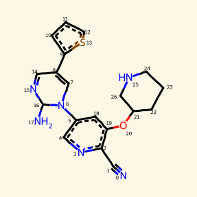 N#Cc1ncc(N2C=C(c3cccs3)C=NC2N)cc1OC1CCCNC1